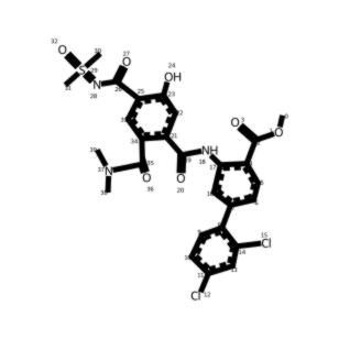 COC(=O)c1ccc(-c2ccc(Cl)cc2Cl)cc1NC(=O)c1cc(O)c(C(=O)N=S(C)(C)=O)cc1C(=O)N(C)C